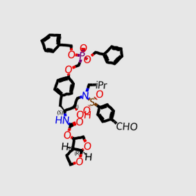 CC(C)CN(C[C@@H](O)[C@H](Cc1ccc(OCP(=O)(OCc2ccccc2)OCc2ccccc2)cc1)NC(=O)OC1CO[C@H]2OCC[C@@H]12)S(=O)(=O)c1ccc(C=O)cc1